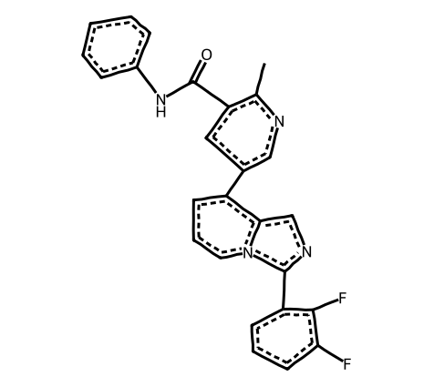 Cc1ncc(-c2cccn3c(-c4cccc(F)c4F)ncc23)cc1C(=O)Nc1ccccc1